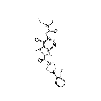 CCN(CC)C(=O)Cn1cnc2sc(C(=O)N3CCN(c4ccccc4F)CC3)c(C)c2c1=O